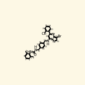 Cc1cccc(C)c1NC(=O)NCc1ccc(CNc2cc(-c3ccccc3Cl)nc3c(Br)cnn23)cc1